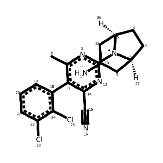 Cc1nc(N2[C@@H]3CC[C@H]2CC(N)C3)nc(C#N)c1-c1cccc(Cl)c1Cl